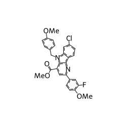 COC(=O)c1cc(-c2ccc(OC)c(F)c2)nc2c3ccc(Cl)cc3n(Cc3ccc(OC)cc3)c12